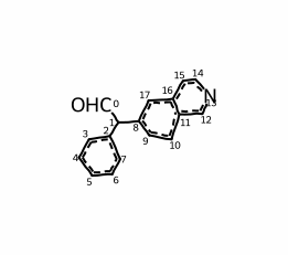 O=CC(c1ccccc1)c1ccc2cnccc2c1